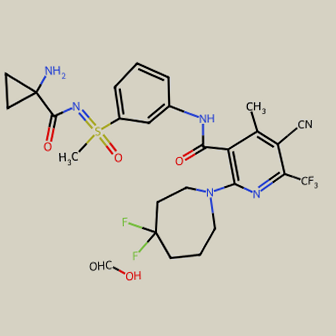 Cc1c(C#N)c(C(F)(F)F)nc(N2CCCC(F)(F)CC2)c1C(=O)Nc1cccc(S(C)(=O)=NC(=O)C2(N)CC2)c1.O=CO